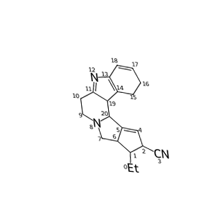 CCC1C(C#N)C=C2C1CN1CCC3=NC4=C(CCC=C4)C3C21